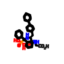 O=C(O)CNC(=O)[C@H](Cc1ccc(-c2ccccc2)cc1)NC(c1ccccc1)(c1ccccc1)P(=O)(O)O